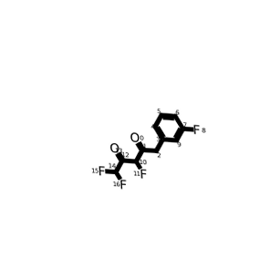 O=C(Cc1cccc(F)c1)C(F)C(=O)C(F)F